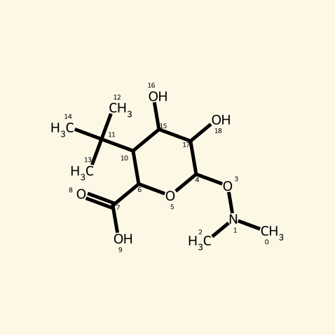 CN(C)OC1OC(C(=O)O)C(C(C)(C)C)C(O)C1O